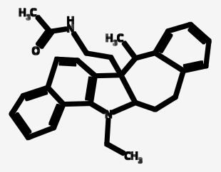 CCN1c2c(ccc3ccccc23)C2(CCNC(C)=O)C(C)c3ccccc3CCC12